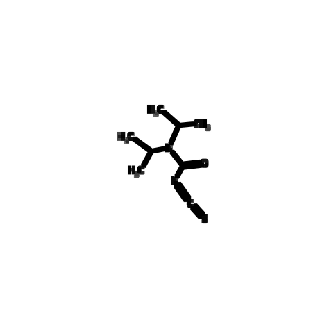 CC(C)N(C(=O)N=C=S)C(C)C